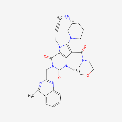 CC#CCn1c(N2CCC[C@@H](N)C2)c(C(=O)N2CCOCC2)c2c1c(=O)n(Cc1nc(C)c3ccccc3n1)c(=O)n2C